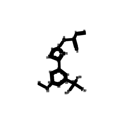 C=CC(=O)On1cnc(-c2cc(OC)cc(C(F)(F)F)c2)n1